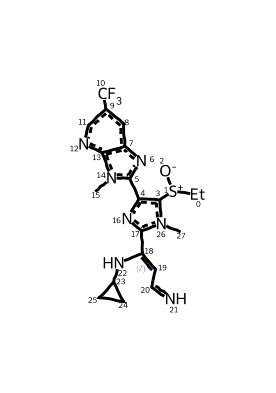 CC[S+]([O-])c1c(-c2nc3cc(C(F)(F)F)cnc3n2C)nc(/C(=C/C=N)NC2CC2)n1C